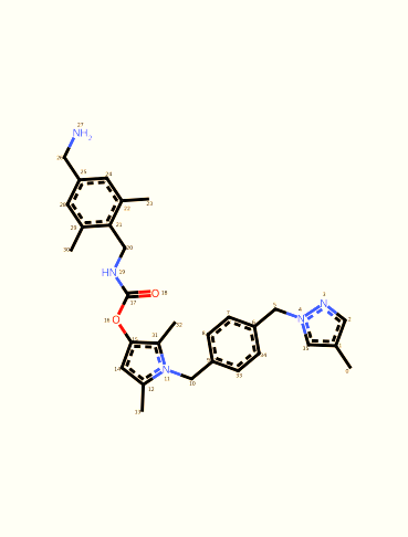 Cc1cnn(Cc2ccc(Cn3c(C)cc(OC(=O)NCc4c(C)cc(CN)cc4C)c3C)cc2)c1